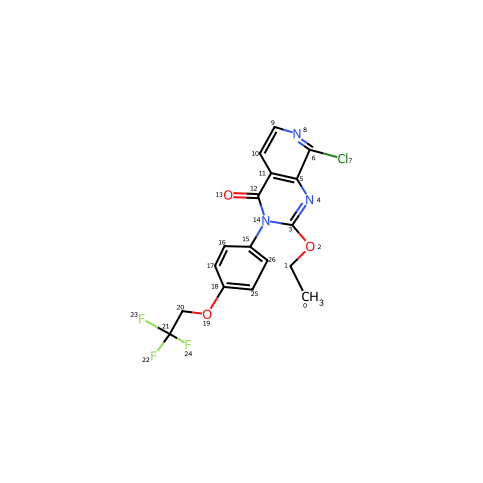 CCOc1nc2c(Cl)nccc2c(=O)n1-c1ccc(OCC(F)(F)F)cc1